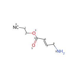 N#CCCOC(=O)/C=C/CN